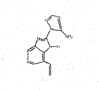 C=Cc1cncc2nc(-n3ncnc3N)n(CC)c12